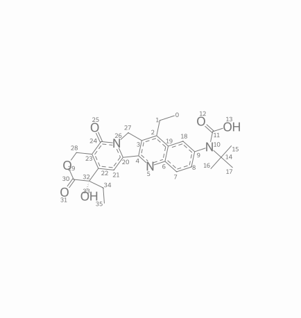 CCc1c2c(nc3ccc(N(C(=O)O)C(C)(C)C)cc13)-c1cc3c(c(=O)n1C2)COC(=O)[C@]3(O)CC